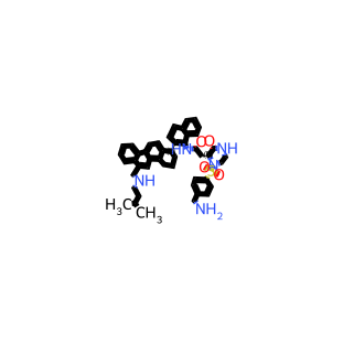 CC(C)CCNCc1cc2c3c(ccc2c2ccccc12)[C@H](c1ccc2ccccc2c1NC(=O)C[C@@H]1C(=O)NCCN1S(=O)(=O)c1ccc(CN)cc1)CCC3